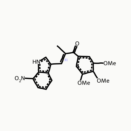 COc1cc(C(=O)/C(C)=C/c2c[nH]c3c([N+](=O)[O-])cccc23)cc(OC)c1OC